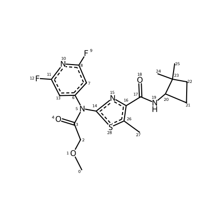 COCC(=O)N(c1cc(F)nc(F)c1)c1nc(C(=O)NC2CCC2(C)C)c(C)s1